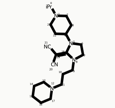 CC(C)N1CCC(N2CCN(CCCN3CCCCC3)C2=C(C#N)C#N)CC1